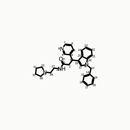 O=C(CC(c1cccnc1)c1cn(Cc2ccccc2)c2ccccc12)NCCN1CCCC1